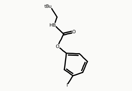 CC(C)(C)CBC(=O)Oc1cccc(I)c1